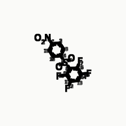 O=[N+]([O-])c1ccc(S(=O)(=O)c2c(F)c(F)cc(F)c2F)cc1